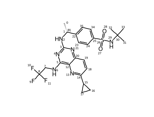 C[C@@H](Nc1nc(NCC(F)(F)F)c2nc(C3CC3)ccc2n1)c1ccc(S(=O)(=O)NC(C)(C)C)cc1